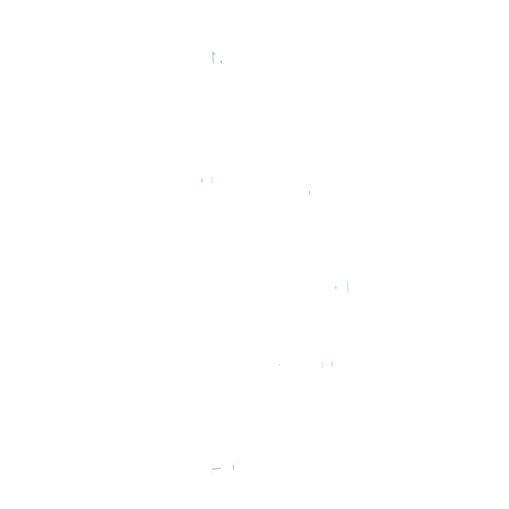 CCCC(=O)c1ccc(OCC#N)c(Cl)c1Cl